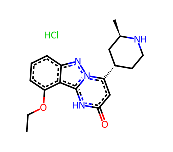 CCOc1cccc2nn3c([C@H]4CCN[C@H](C)C4)cc(=O)[nH]c3c12.Cl